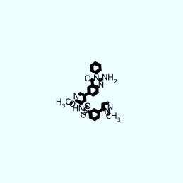 COc1ncc(-c2ccc3nc(N)n(-c4ccccc4)c(=O)c3c2)cc1NS(=O)(=O)c1cccc(-c2ccnn2C)c1